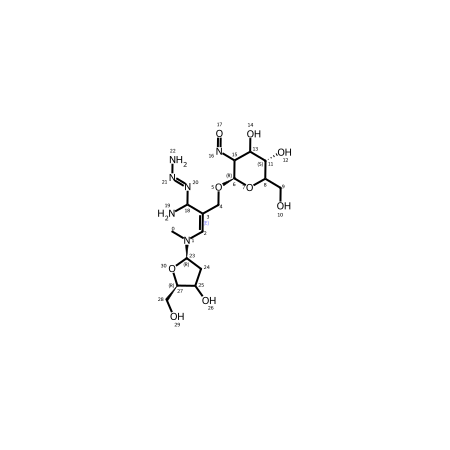 CN(/C=C(/CO[C@@H]1OC(CO)[C@@H](O)C(O)C1N=O)C(N)N=NN)[C@H]1CC(O)[C@@H](CO)O1